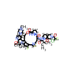 CCn1c(-c2cc(N3CCN(C)CC3)cnc2[C@H](C)OC)c2c3cc(c(F)cc31)-c1csc(n1)C[C@H](NC(=O)[C@H](C(C)C)N1CCCC3(CCN(C(=O)[C@H](F)Cl)CC3)C1=O)C(=O)N1CCC[C@H](N1)C(=O)OCC(C)(C)C2